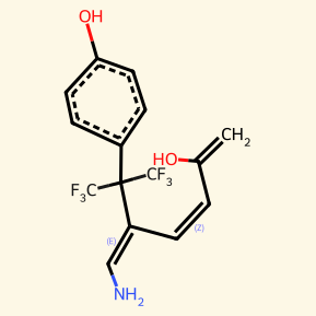 C=C(O)/C=C\C(=C/N)C(c1ccc(O)cc1)(C(F)(F)F)C(F)(F)F